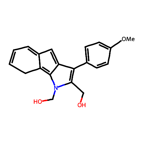 COc1ccc(-c2c(CO)n(CO)c3c2=CC2=CC=CCC=32)cc1